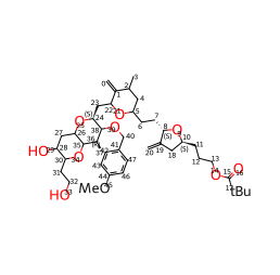 C=C1C(C)CC(CC[C@@H]2O[C@@H](CCCOC(=O)C(C)(C)C)CC2=C)OC1C[C@@H]1OC2CC(O)C(CCO)OC2[C@H](C)C1OCc1ccc(OC)cc1